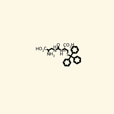 NC(CNC(=O)N[C@@H](CSC(c1ccccc1)(c1ccccc1)c1ccccc1)C(=O)O)C(=O)O